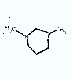 CC1CCCN(C)C1